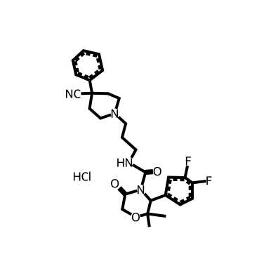 CC1(C)OCC(=O)N(C(=O)NCCCN2CCC(C#N)(c3ccccc3)CC2)C1c1ccc(F)c(F)c1.Cl